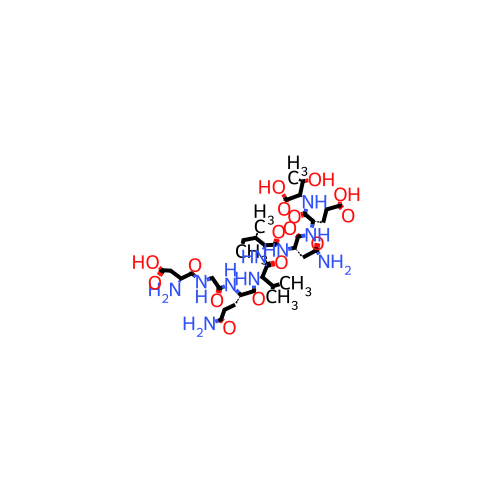 CC[C@H](C)[C@H](NC(=O)[C@@H](NC(=O)[C@H](CCC(N)=O)NC(=O)CNC(=O)[C@@H](N)CC(=O)O)C(C)C)C(=O)N[C@@H](CC(N)=O)C(=O)N[C@@H](CCC(=O)O)C(=O)N[C@H](C(=O)O)[C@@H](C)O